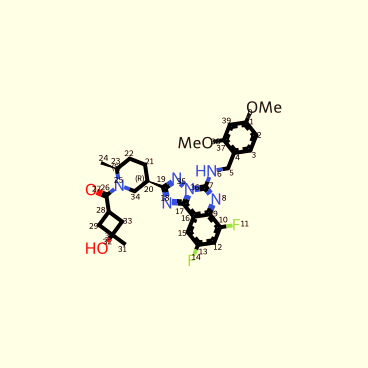 COc1ccc(CNc2nc3c(F)cc(F)cc3c3nc([C@@H]4CC[C@H](C)N(C(=O)C5CC(C)(O)C5)C4)nn23)c(OC)c1